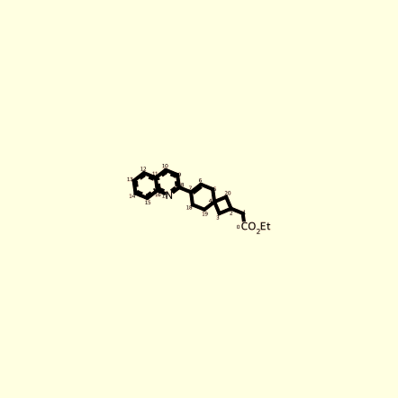 CCOC(=O)CC1CC2(CC=C(c3ccc4ccccc4n3)CC2)C1